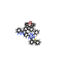 c1ccc(-c2nc(-c3ccc4c(c3)-c3c(ccc5c3-c3ccccc3C53c5ccccc5Oc5ccccc53)C(c3ccccc3)N4)nc(-c3cccc4c3sc3ccccc34)n2)cc1